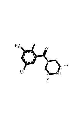 Bc1cc(N)c(C)c(C(=O)N2C[C@@H](C)N[C@@H](C)C2)c1